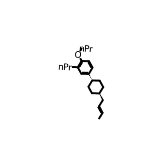 CC=CC[C@H]1CC[C@H](c2ccc(OCCC)c(CCC)c2)CC1